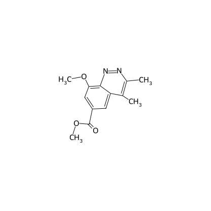 COC(=O)c1cc(OC)c2nnc(C)c(C)c2c1